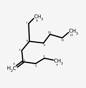 C=C(CCC)CC(CC)CCCC